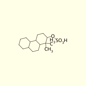 CC1(C)C(OS(=O)(=O)O)CCC2C3CCCCC3CCC21